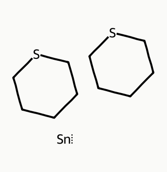 C1CCSCC1.C1CCSCC1.[Sn]